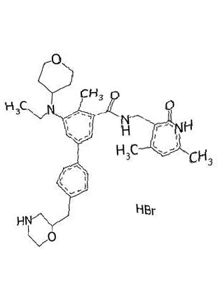 Br.CCN(c1cc(-c2ccc(CC3CNCCO3)cc2)cc(C(=O)NCc2c(C)cc(C)[nH]c2=O)c1C)C1CCOCC1